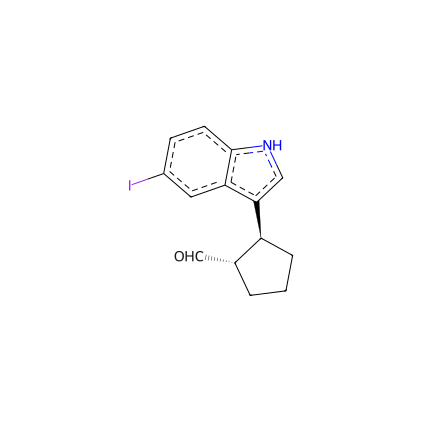 O=C[C@H]1CCC[C@@H]1c1c[nH]c2ccc(I)cc12